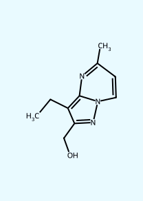 CCc1c(CO)nn2ccc(C)nc12